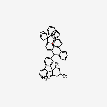 C=C1CC(CC)CC(CC)C12c1ccccc1-c1ccc(C(c3ccc4c(c3)-c3ccccc3C43CC4CCC3C4)c3ccccc3-c3ccc(-c4ccccc4)cc3)cc12